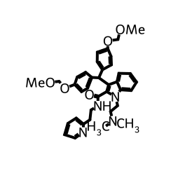 COCOc1ccc(C(c2ccc(OCOC)cc2)c2c(C(=O)NCCc3ccccn3)n(CCN(C)C)c3ccccc23)cc1